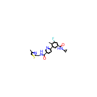 Cc1csc(CNC(=O)c2ccc(-c3cc(C(=O)NC4CC4)cc(F)c3C)nc2)n1